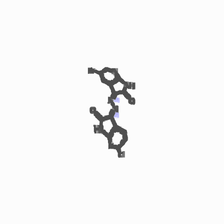 O=C1Nc2ncc(Br)cc2/C1=N/N=C1\C(=O)Nc2nc(Cl)ccc21